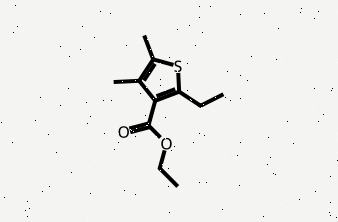 CCOC(=O)c1c(CC)sc(C)c1C